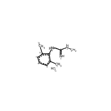 CNC(=N)Nc1c(C)cccc1C.Cl